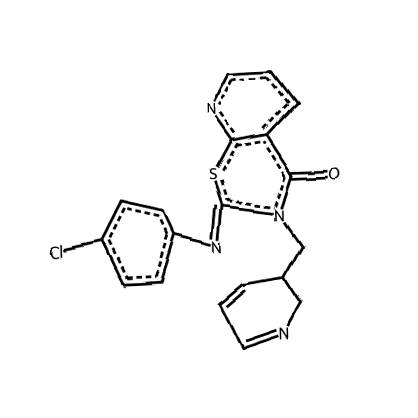 O=c1c2cccnc2sc(=Nc2ccc(Cl)cc2)n1CC1C=CC=NC1